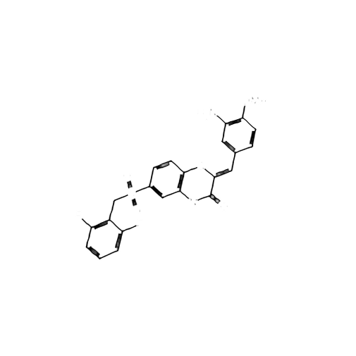 COc1ccc(/C=C2\Sc3ccc(S(=O)(=O)Cc4c(F)cccc4F)cc3NC2=O)cc1[N+](=O)[O-]